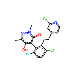 Cc1nn(C)c(=O)c(-c2c(F)ccc(Cl)c2CCc2ccnc(Cl)c2)c1O